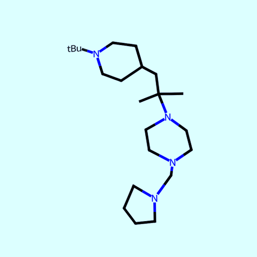 CC(C)(C)N1CCC(CC(C)(C)N2CCN(CN3CCCC3)CC2)CC1